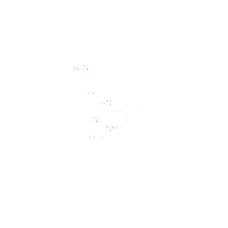 CC(=O)Nc1ncc(-c2ccc(N)cc2)nc1-c1cccs1